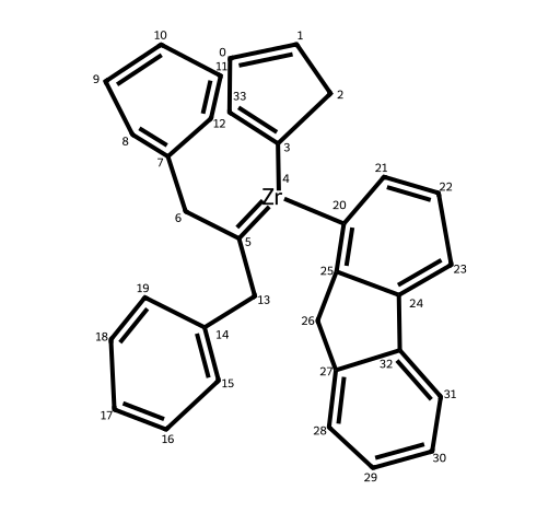 C1=CC[C]([Zr](=[C](Cc2ccccc2)Cc2ccccc2)[c]2cccc3c2Cc2ccccc2-3)=C1